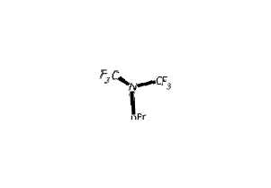 CCCN(C(F)(F)F)C(F)(F)F